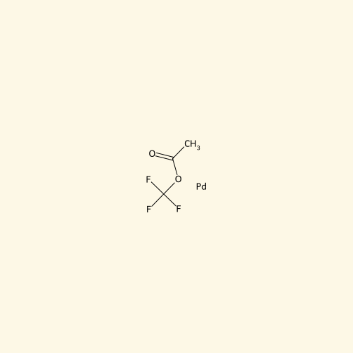 CC(=O)OC(F)(F)F.[Pd]